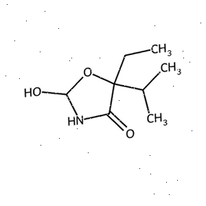 CCC1(C(C)C)OC(O)NC1=O